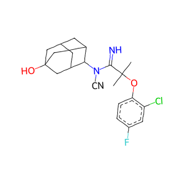 CC(C)(Oc1ccc(F)cc1Cl)C(=N)N(C#N)C1C2CC3CC1CC(O)(C3)C2